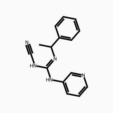 CC(N=C(NC#N)Nc1cccnc1)c1ccccc1